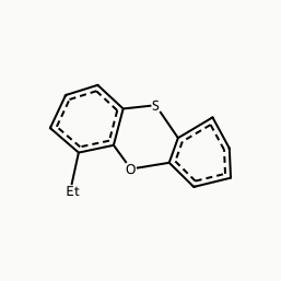 CCc1cccc2c1Oc1ccccc1S2